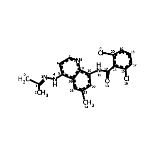 CC(C)=NNc1ccnc2c(NC(=O)c3c(Cl)cccc3Cl)cc(C)cc12